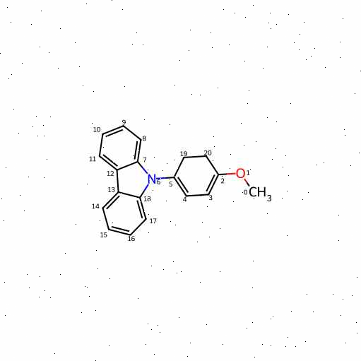 COC1=CC=C(n2c3ccccc3c3ccccc32)CC1